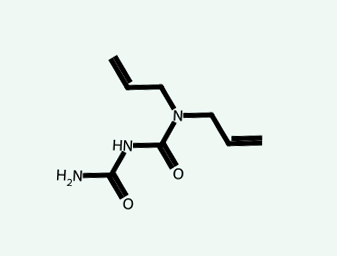 C=CCN(CC=C)C(=O)NC(N)=O